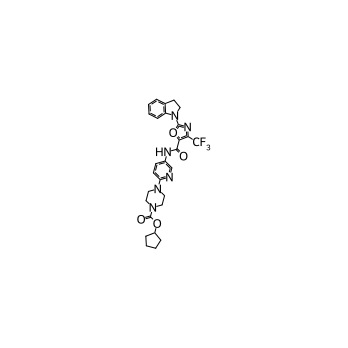 O=C(Nc1ccc(N2CCN(C(=O)OC3CCCC3)CC2)nc1)c1oc(N2CCc3ccccc32)nc1C(F)(F)F